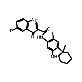 CC1(c2cc(F)c(NC(=O)c3c[nH]c4ccc(F)cc4c3=O)cc2O)CCCCC1